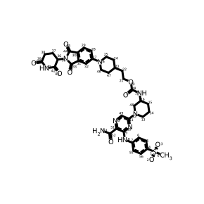 CS(=O)(=O)c1ccc(Nc2nc(N3CCCC(NC(=O)OCCC4CCN(c5ccc6c(c5)C(=O)N(C5CCC(=O)NC5=O)C6=O)CC4)C3)cnc2C(N)=O)cc1